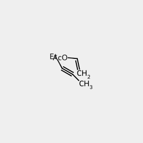 C=COC(C)=O.CC#CCC